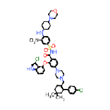 CC1(C)CCC(CN2CCN(c3ccc(C(=O)NS(=O)(=O)c4ccc(NC5CCC(N6CCOCC6)CC5)c([N+](=O)[O-])c4)c(Oc4cccc5[nH]cc(Cl)c45)c3)CC2)=C(c2ccc(Cl)cc2)C1